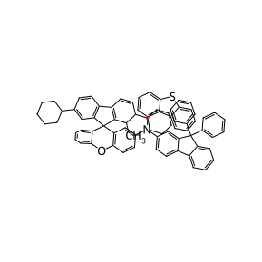 CC1C2=C(C=CC1C1CCCCC1)c1ccc(C3CCCCC3)cc1C21c2ccccc2Oc2ccc(N(c3ccc4c(c3)C(c3ccccc3)(c3ccccc3)c3ccccc3-4)c3cccc4sc5ccccc5c34)cc21